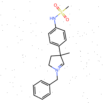 CC1(c2ccc(NS(C)(=O)=O)cc2)C=[N+](Cc2ccccc2)CC1